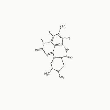 Cc1c(Cl)c2c3c(nc(=O)n(I)c3c1F)N1CC(C)N(C)CC1C(=O)N2